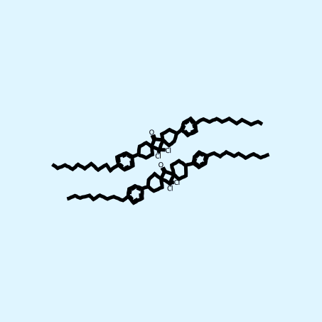 CCCCCCCCCCc1ccc(C2CCC3(CC2)C(=O)C2(CCC(c4ccc(CCCCCCCCCC)cc4)CC2)C3(Cl)Cl)cc1.CCCCCCCCCc1ccc(C2CCC3(CC2)C(=O)C2(CCC(c4ccc(CCCCCCCCC)cc4)CC2)C3(Cl)Cl)cc1